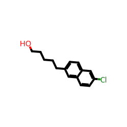 OCCCCCc1ccc2cc(Cl)ccc2c1